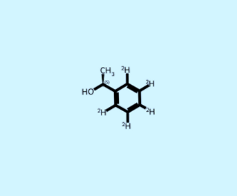 [2H]c1c([2H])c([2H])c([C@H](C)O)c([2H])c1[2H]